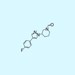 O=CN1CCCC(n2cc(-c3ccc(F)cc3)cn2)C1